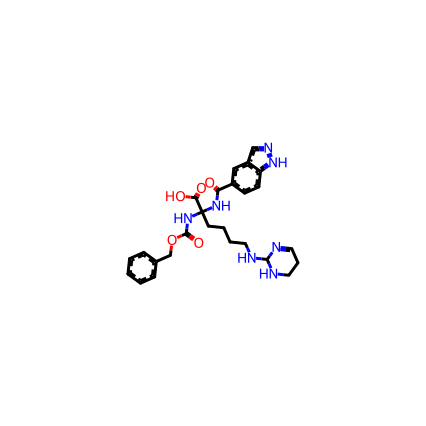 O=C(NC(CCCCNC1N=CCCN1)(NC(=O)c1ccc2[nH]ncc2c1)C(=O)O)OCc1ccccc1